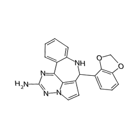 Nc1nc2c3c(ccn3n1)C(c1cccc3c1OCO3)Nc1ccccc1-2